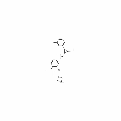 O=C(NC1CC(F)(F)C1)c1cc(NC(=O)C2C(c3cc(Cl)cc(Cl)c3)C2(Br)Br)ccc1Cl